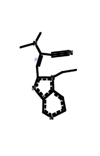 CCn1c(/C=C(\C#N)N(C)C)nc2cnccc21